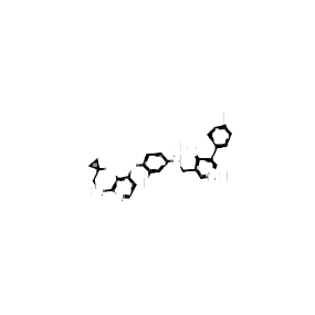 O=C(Nc1ccc(Oc2ccnc3c2OC2(CC2)CN3)c(F)c1)c1c[nH]cc(-c2ccc(F)cc2)c1=O